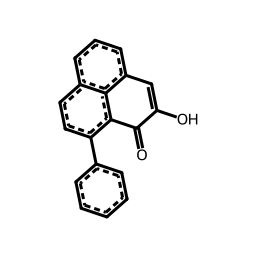 O=C1C(O)=Cc2cccc3ccc(-c4ccccc4)c1c23